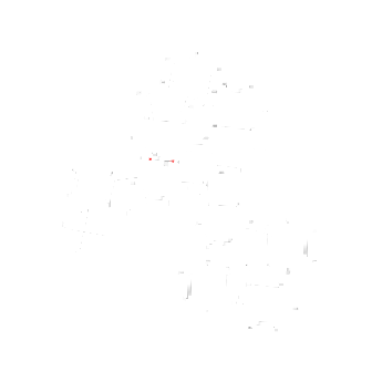 CC(C)(C)c1cccc2c1oc1cc(N(c3ccc4c(c3)-c3ccccc3C4(c3ccccc3)c3ccccc3)c3ccc4ccccc4c3-c3cccc4oc5ccccc5c34)ccc12